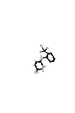 FC(F)(F)c1ccccc1Oc1ccc(Cl)nn1